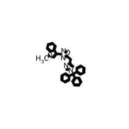 Cn1cc(-c2noc(Cc3cn(C(c4ccccc4)(c4ccccc4)c4ccccc4)cn3)n2)c2ccccc21